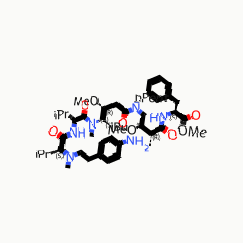 CCCCCN(C[C@H](OC)[C@@H](C)C(=O)N[C@@H](Cc1ccccc1)C(=O)OC)C(=O)C[C@@H](OC)[C@H]([C@@H](C)CC)N(C)C(=O)C(NC(=O)[C@H](C(C)C)N(C)CCc1ccc(N)cc1)C(C)C